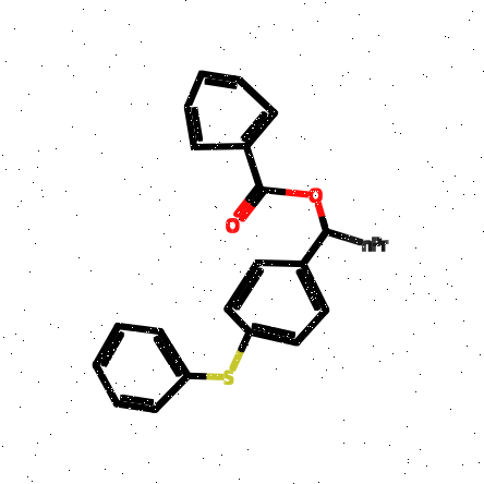 CCCC(OC(=O)c1ccccc1)c1ccc(Sc2ccccc2)cc1